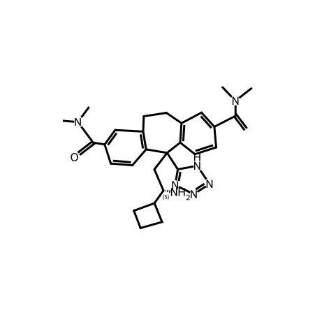 C=C(c1ccc2c(c1)CCc1cc(C(=O)N(C)C)ccc1C2(C[C@H](N)C1CCC1)c1nnn[nH]1)N(C)C